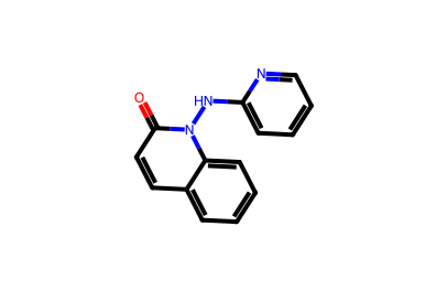 O=c1ccc2ccccc2n1Nc1ccccn1